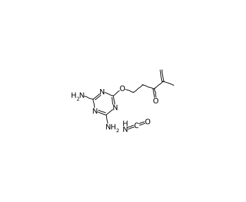 C=C(C)C(=O)CCOc1nc(N)nc(N)n1.N=C=O